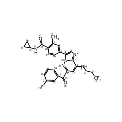 Cc1cc(-c2cnc3c(NCCC(F)(F)F)cc(C(=O)c4cccc(F)c4)nn23)ccc1C(=O)NC1CC1